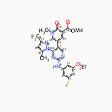 CCOc1cc(F)cc(Nc2ncc(-c3cc(C(=O)OC)c(=O)n(C)c3)c(-n3nc(C(F)(F)F)cc3C)n2)c1